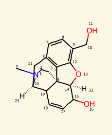 CN1CC[C@]23c4c5ccc(CO)c4O[C@H]2C(O)C=CC3[C@H]1C5